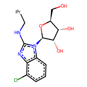 CC(C)CNc1nc2c(Cl)cccc2n1[C@H]1O[C@@H](CO)[C@H](O)[C@@H]1O